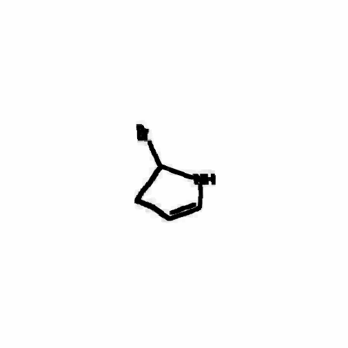 BrC1CC=CN1